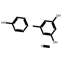 C=O.Cc1cc(O)cc(O)c1.Oc1ccccc1